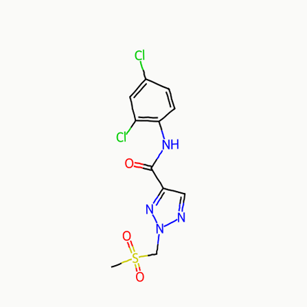 CS(=O)(=O)Cn1ncc(C(=O)Nc2ccc(Cl)cc2Cl)n1